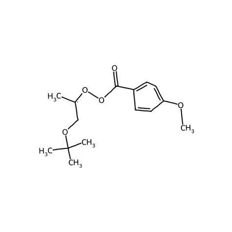 COc1ccc(C(=O)OO[C](C)COC(C)(C)C)cc1